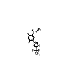 Cc1cc(C)c([S+]([O-])CC(C)C)cc1-n1cnc(C(F)(F)C(F)(F)F)n1